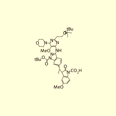 COc1ccc2c(c1)[C@]1(C[C@H]1c1ccc3c(Nc4nc(CCO[Si](C)(C)C(C)(C)C)nc(N5CCOCC5)c4OC)nn(C(=O)OC(C)(C)C)c3c1)C(=O)N2C(=O)O